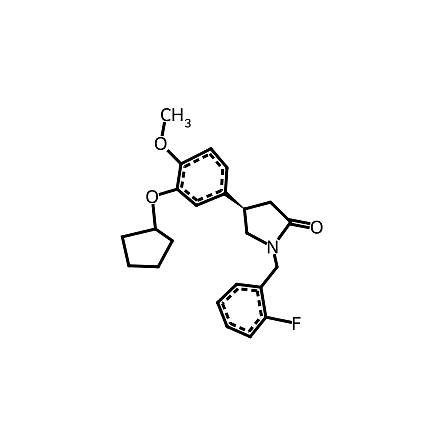 COc1ccc([C@H]2CC(=O)N(Cc3ccccc3F)C2)cc1OC1CCCC1